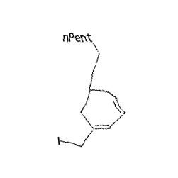 CCCCCCCC1C=CC=C(CI)C1